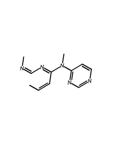 C\C=C/C(=N\C=N/C)N(C)c1ccncn1